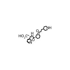 O=C(O)C[C@H](NC(=O)[C@@H]1CCCN(C(=O)CCC2CCNCC2)C1)c1cccnc1